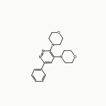 c1ccc(-c2cc(N3CCOCC3)c(N3CCOCC3)nn2)cc1